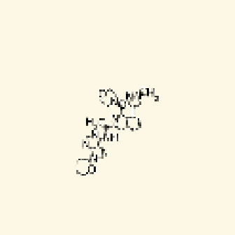 C[C@H](Nc1ncnc2c1ncn2C1CCCCO1)c1cc2cccc(-c3cnn(C)c3)c2c(C(=O)N2CCOCC2)n1